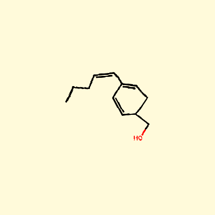 CCC/C=C\C1=CCC(CO)C=C1